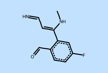 CN/C(=C\C=N)c1cc(F)ccc1C=O